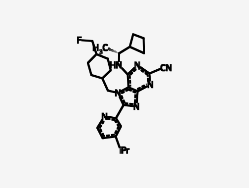 CC(C)c1ccnc(-c2nc3nc(C#N)nc(N[C@H](C)C4CCC4)c3n2CC2CCC(CF)CC2)c1